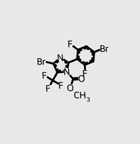 COC(=O)n1c(-c2c(F)cc(Br)cc2F)nc(Br)c1C(F)(F)F